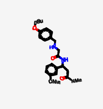 CCCCOc1ccc(CNCC(=O)NC(CC(=O)NC)c2cccc(OC)c2)cc1